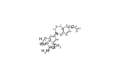 Cc1cc(N2CCCc3cc(OC4CC4)ccc3C2)cc(C)c1C(C(N)=O)C(C)(C)C